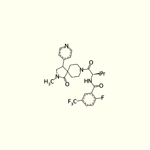 CC(C)[C@@H](NC(=O)c1cc(C(F)(F)F)ccc1F)C(=O)N1CCC2(CC1)C(=O)N(C)CC2c1ccncc1